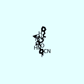 CC(CCc1ccccc1)[C@H]1CCc2c(cn(C)c2C(=O)Nc2ccc(F)c(C#N)c2)S(=O)(=NC2CC2)N1